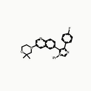 CC(C)n1cnc(-c2ccc(F)cc2)c1-c1ccc2ncc(N3CCOC(C)(C)C3)cc2c1